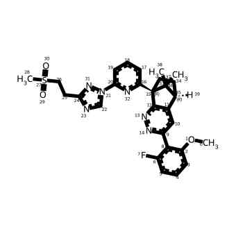 COc1cccc(F)c1-c1cc2c(nn1)[C@]1(c3cccc(-n4cnc(CCS(C)(=O)=O)n4)n3)CC[C@@H]2C1(C)C